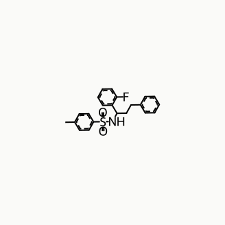 Cc1ccc(S(=O)(=O)NC(CCc2ccccc2)c2ccccc2F)cc1